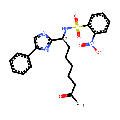 CC(=O)CCCCC[C@H](NS(=O)(=O)c1ccccc1[N+](=O)[O-])c1ncc(-c2ccccc2)[nH]1